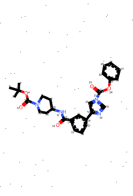 CC(C)(C)OC(=O)N1CCC(NC(=O)c2cccc(-c3cn(C(=O)Oc4ccccc4)cn3)c2)CC1